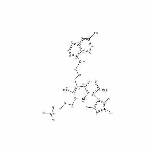 Cc1nn(C)c(C)c1-c1c(Cl)ccc(/C(=C/C(C)(C)C)CCCOc2cccc3cc(F)ccc23)c1NCCCCCN(C)C